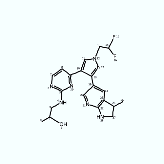 CC(O)CNc1nccc(-c2cn(CC(F)F)nc2-c2cnc3c(c2)C(C)CN3)n1